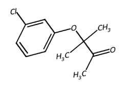 CC(=O)C(C)(C)Oc1cccc(Cl)c1